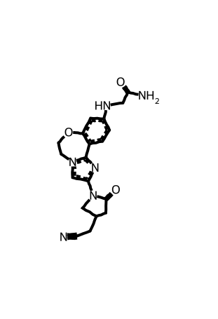 N#CCC1CC(=O)N(c2cn3c(n2)-c2ccc(NCC(N)=O)cc2OCC3)C1